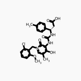 COc1cccc(Cl)c1Cn1cc(C)c(O)c(NC(=O)N[C@@H](CC(=O)O)c2ccc(C)cc2)c1=O